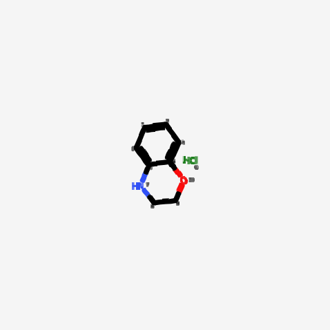 Cl.c1ccc2c(c1)NCCO2